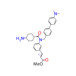 COC(=O)/C=C/c1cccc(N(Cc2ccc(-c3ccc(N(C)C)cc3)cc2)C(=O)[C@H]2CC[C@@H](N)CC2)c1